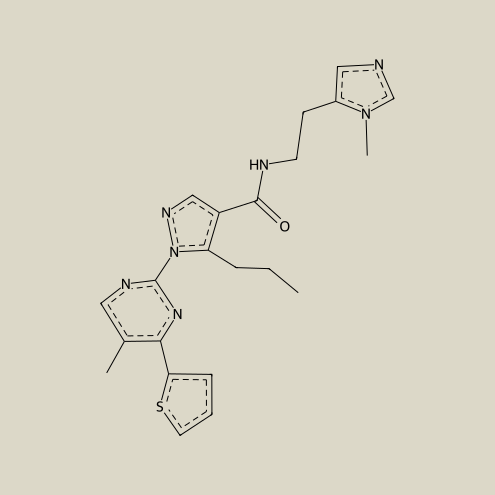 CCCc1c(C(=O)NCCc2cncn2C)cnn1-c1ncc(C)c(-c2cccs2)n1